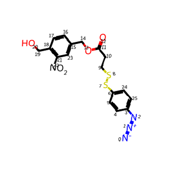 [N-]=[N+]=Nc1ccc(SSCCC(=O)OCc2ccc(CO)c([N+](=O)[O-])c2)cc1